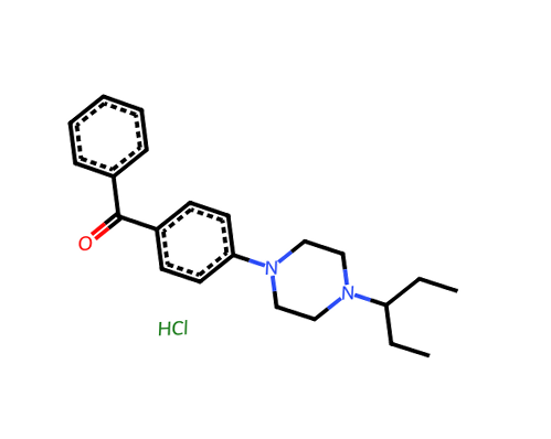 CCC(CC)N1CCN(c2ccc(C(=O)c3ccccc3)cc2)CC1.Cl